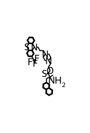 CC(N)(Cc1ccc2ccccc2c1)C(=S)OCCN1CCN(CCCN2c3ccccc3Sc3ccc(C(F)(F)F)cc32)CC1